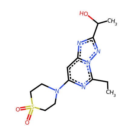 CCc1nc(N2CCS(=O)(=O)CC2)cc2nc(C(C)O)nn12